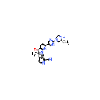 C[C@@H]1CN(c2ncc(-c3ccc4c(n3)N(Cc3cccnc3C#N)C(C)(C)C4=O)cn2)CCN1